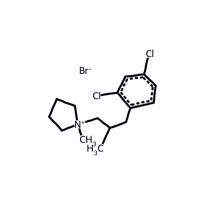 CC(Cc1ccc(Cl)cc1Cl)C[N+]1(C)CCCC1.[Br-]